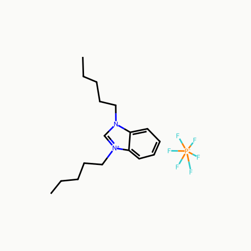 CCCCCn1c[n+](CCCCC)c2ccccc21.F[P-](F)(F)(F)(F)F